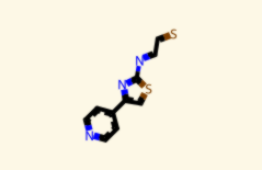 S=CC=Nc1nc(-c2ccncc2)cs1